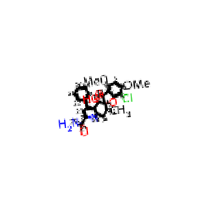 COc1cc(OC)c2c(c1Cl)O[C@]1(C2=O)C(O)c2c(-c3ccccc3)cc(C(N)=O)nc2C[C@H]1C